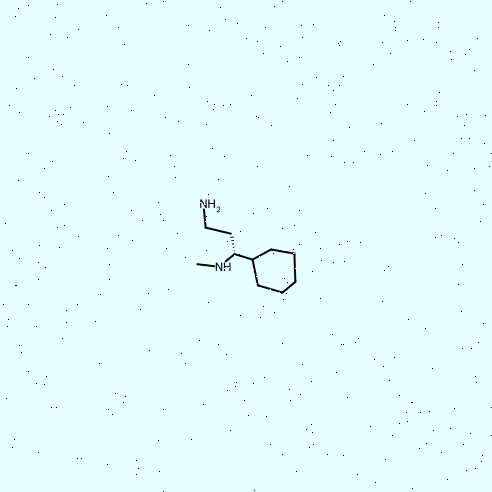 CN[C@H](CCN)C1CCCCC1